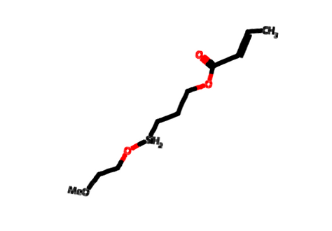 CC=CC(=O)OCCC[SiH2]OCCOC